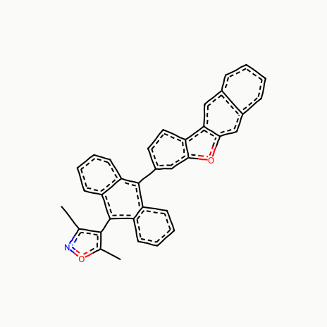 Cc1noc(C)c1-c1c2ccccc2c(-c2ccc3c(c2)oc2cc4ccccc4cc23)c2ccccc12